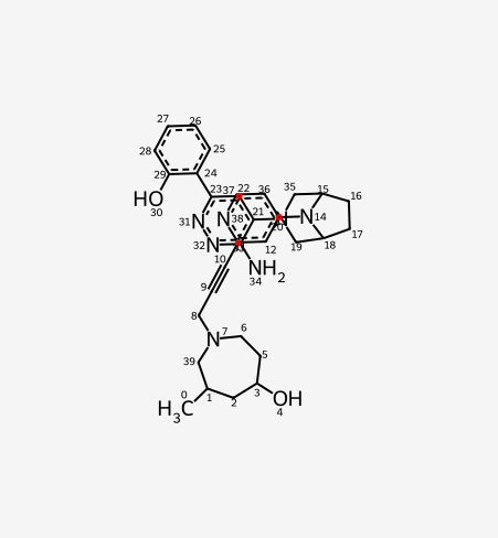 CC1CC(O)CCN(CC#Cc2cc(N3C4CCC3CN(c3cc(-c5ccccc5O)nnc3N)C4)ccn2)C1